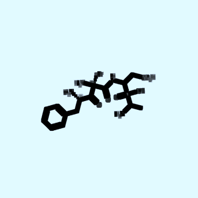 CCC[C@](N)(C(=O)NC(CC(=O)O)P(=O)(O)C(C)N)C(=O)[C@@H](N)Cc1ccccc1